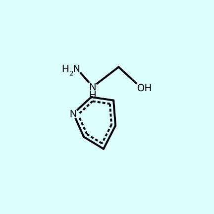 NNCO.c1ccncc1